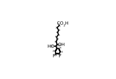 O=C(O)CCCCCCCCC(O)C(O)c1ccc(F)c(F)c1